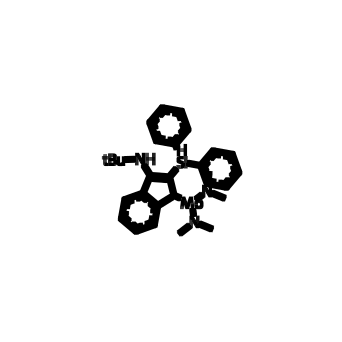 C[N](C)[Mo]([CH]1C([SiH](c2ccccc2)c2ccccc2)=C(NC(C)(C)C)c2ccccc21)[N](C)C